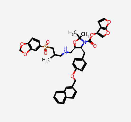 CC(CNC[C@H]1OC(C)(C)N(C(=O)Oc2coc3occc23)[C@H]1Cc1ccc(OCc2ccc3ccccc3c2)cc1)CS(=O)(=O)c1ccc2c(c1)OCO2